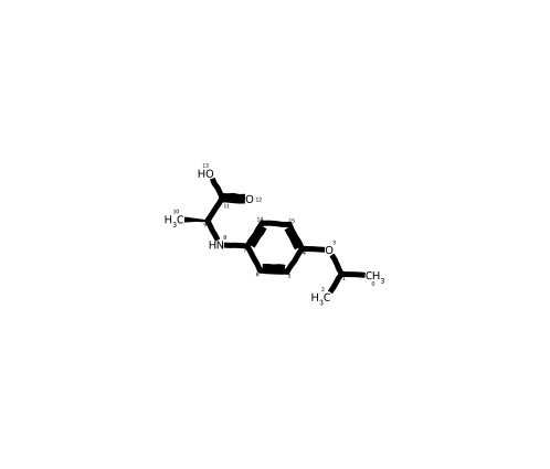 CC(C)Oc1ccc(N[C@@H](C)C(=O)O)cc1